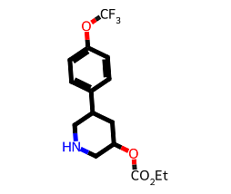 CCOC(=O)OC1CNCC(c2ccc(OC(F)(F)F)cc2)C1